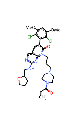 C=CC(=O)N1CCN(CCCn2c(=O)c(-c3c(Cl)c(OC)cc(OC)c3Cl)cc3cnc(NCC4CCCO4)nc32)CC1